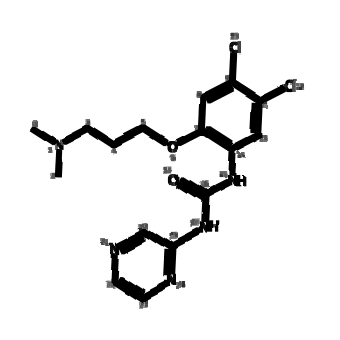 CN(C)CCCOc1cc(Cl)c(Cl)cc1NC(=O)Nc1cnccn1